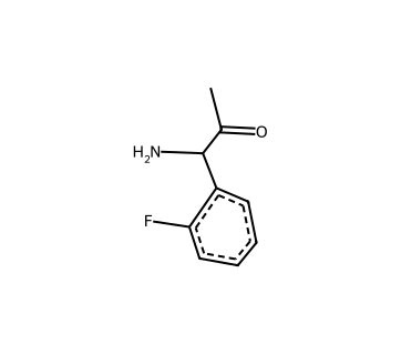 CC(=O)C(N)c1ccccc1F